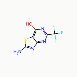 Nc1nc2nc(C(F)(F)F)nc(O)c2s1